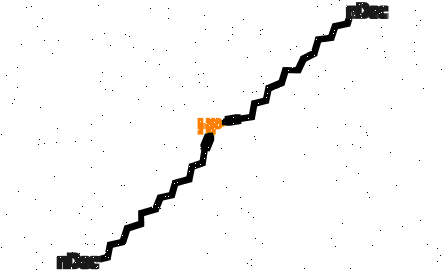 CCCCCCCCCCCCCCCCCCCCCCCC#CPC#CCCCCCCCCCCCCCCCCCCCCCCC